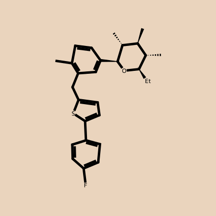 CC[C@H]1O[C@@H](c2ccc(C)c(Cc3ccc(-c4ccc(F)cc4)s3)c2)[C@H](C)[C@@H](C)[C@@H]1C